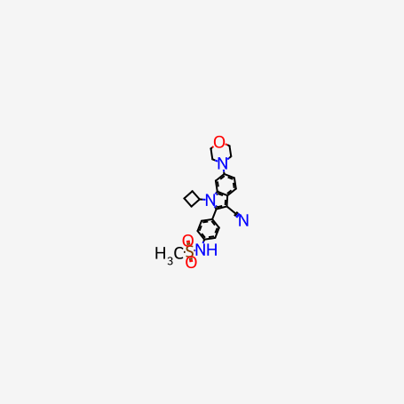 CS(=O)(=O)Nc1ccc(-c2c(C#N)c3ccc(N4CCOCC4)cc3n2C2CCC2)cc1